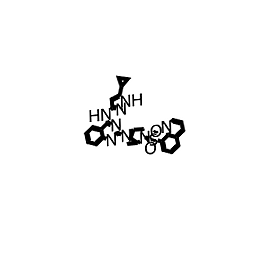 O=S(=O)(c1cccc2cccnc12)N1CC2CC1CN2c1nc(Nc2cc(C3CC3)[nH]n2)c2ccccc2n1